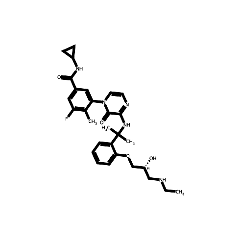 CCNC[C@@H](O)COc1ccccc1C(C)(C)Nc1nccn(-c2cc(C(=O)NC3CC3)cc(F)c2C)c1=O